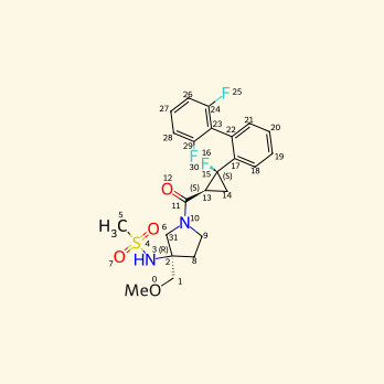 COC[C@@]1(NS(C)(=O)=O)CCN(C(=O)[C@@H]2C[C@@]2(F)c2ccccc2-c2c(F)cccc2F)C1